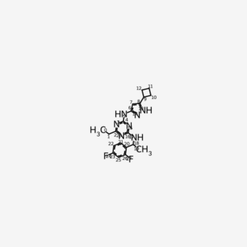 CCc1nc(Nc2cc(C3CCC3)[nH]n2)nc(NC(C)c2ccc(F)cc2F)n1